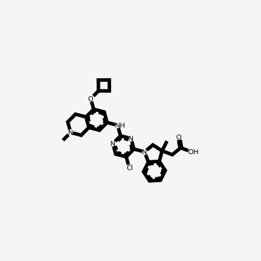 CN1CCc2c(cc(Nc3ncc(Cl)c(N4CC(C)(CC(=O)O)c5ccccc54)n3)cc2OC2CCC2)C1